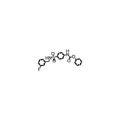 O=C(Nc1ccc(S(=O)(=O)NCc2cccc(F)c2)cc1)Oc1ccccc1